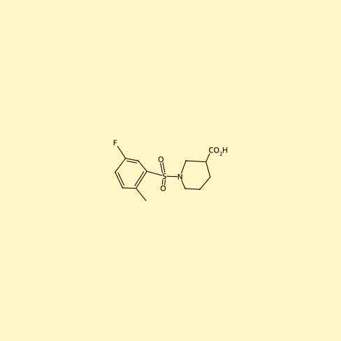 Cc1ccc(F)cc1S(=O)(=O)N1CCCC(C(=O)O)C1